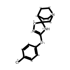 Clc1ccc(OC2=NOC3(CN4CCC3CC4)N2)cc1